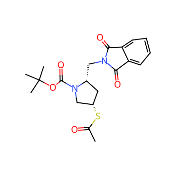 CC(=O)S[C@H]1C[C@@H](CN2C(=O)c3ccccc3C2=O)N(C(=O)OC(C)(C)C)C1